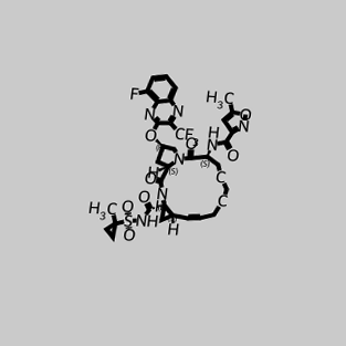 Cc1cc(C(=O)N[C@H]2CCCCCC=C[C@@H]3C[C@@]3(C(=O)NS(=O)(=O)C3(C)CC3)NC(=O)[C@@H]3C[C@@H](Oc4nc5c(F)cccc5nc4C(F)(F)F)CN3C2=O)no1